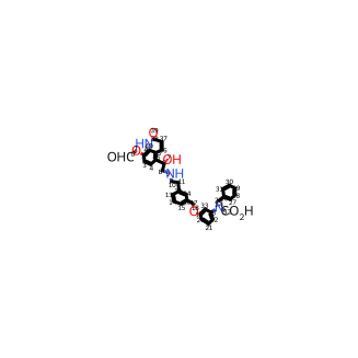 O=COc1ccc([C@@H](O)CNCCc2cccc(COc3cccc(N(Cc4ccccc4)C(=O)O)c3)c2)c2ccc(=O)[nH]c12